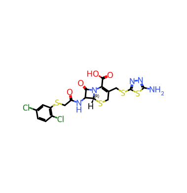 Nc1nnc(SCC2=C(C(=O)O)N3C(=O)C(NC(=O)CSc4cc(Cl)ccc4Cl)[C@H]3SC2)s1